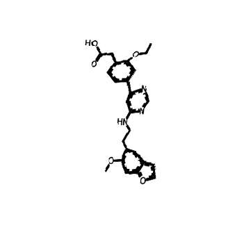 CCOc1cc(-c2cc(NCCc3cc4ccoc4cc3OC)ncn2)ccc1CC(=O)O